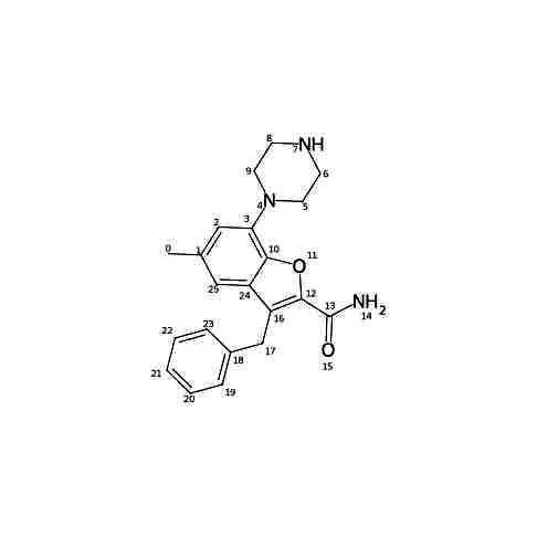 Cc1cc(N2CCNCC2)c2oc(C(N)=O)c(Cc3ccccc3)c2c1